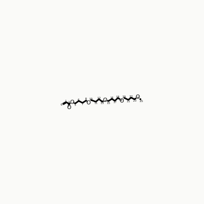 C=CC(=O)OCCCCOCCCCOCCCCOCCCCOC